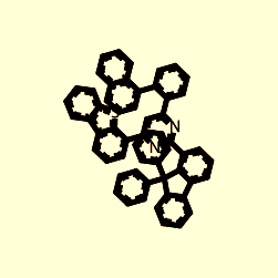 c1ccc(C2(c3ccccc3)c3ccccc3-c3cccc(-c4nc(-c5ccccc5-c5cccc6ccccc56)cc(-c5cccc6c5sc5ccccc56)n4)c32)cc1